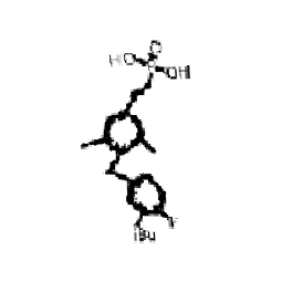 CCC(C)c1cc(Cc2c(C)cc(CCP(=O)(O)O)cc2C)ccc1F